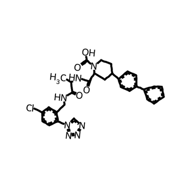 CC(NC(=O)C1CC(c2ccc(-c3ccccc3)cc2)CCN1C(=O)O)C(=O)NCc1cc(Cl)ccc1-n1cnnn1